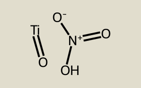 O=[N+]([O-])O.[O]=[Ti]